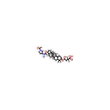 CC(=O)N1CC[C@@H](NC(=O)C[C@]23CCC[C@@H]2[C@H]2CCC4[C@@]5(C)CC[C@H](OC(=O)CC(C)(C)C(=O)O)C(C)(C)C5CC[C@@]4(C)[C@]2(C)CC3)C1